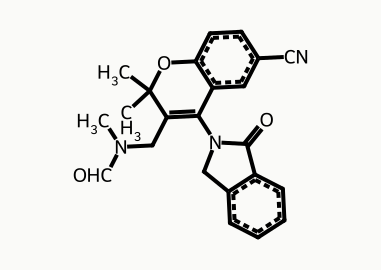 CN(C=O)CC1=C(N2Cc3ccccc3C2=O)c2cc(C#N)ccc2OC1(C)C